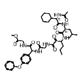 CCCC(NC(=O)[C@H](CC(C)C)NC(=O)[C@@H](NC(C)=O)C1CCCCC1)C(=O)C(=O)NCC(=O)NC(C(=O)NCC(=O)OC)c1ccc(Oc2ccccc2)cc1